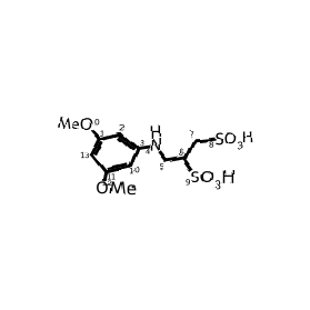 COc1cc(NCC(CS(=O)(=O)O)S(=O)(=O)O)cc(OC)c1